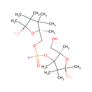 B[C@]1(C)O[C@](C)(COP(=O)(I)OC2(C)C(C)(C)[C@@](B)(C)O[C@]2(C)CO)C(C)(C)C1(C)C